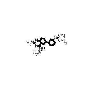 CC(C#N)Oc1cccc(-c2ccc3nc(N)nc(NN)c3c2)c1